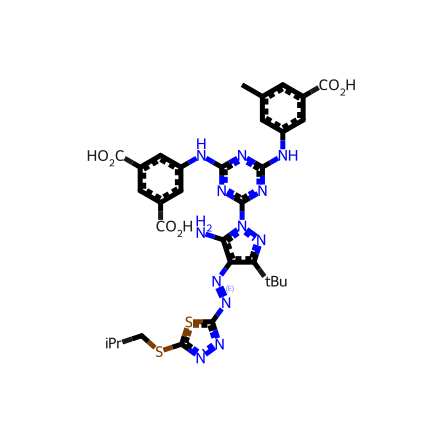 Cc1cc(Nc2nc(Nc3cc(C(=O)O)cc(C(=O)O)c3)nc(-n3nc(C(C)(C)C)c(/N=N/c4nnc(SCC(C)C)s4)c3N)n2)cc(C(=O)O)c1